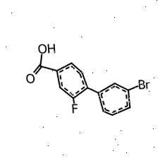 O=C(O)c1ccc(-c2cccc(Br)c2)c(F)c1